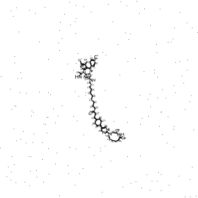 CC(=N)N1C(=N)[C@H](CC(=O)NCCCCCCCCCCC(=O)CCC2CCC(c3cnc(N4CCCCCC(=O)NC(=O)C4)nc3)CC2)N=C(c2ccc(Cl)cc2)c2c1sc(C)c2C